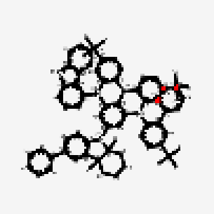 CC(C)(C)c1ccc(N2c3cc(C(C)(C)C)ccc3B3c4ccc(C(C)(C)C)cc4N(c4cccc5sc6ccccc6c45)c4cc(N5c6ccc(-c7ccccc7)cc6C6(C)CCCCC56C)cc2c43)c(-c2ccccc2)c1